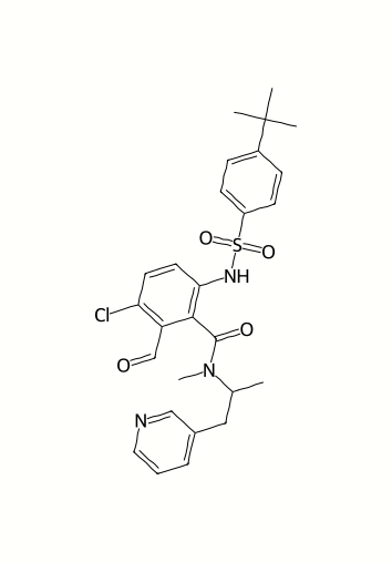 CC(Cc1cccnc1)N(C)C(=O)c1c(NS(=O)(=O)c2ccc(C(C)(C)C)cc2)ccc(Cl)c1C=O